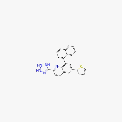 C1=CSC(c2cc(-c3cccc4ccccc34)c3nc(C4=NNNN4)ccc3c2)C1